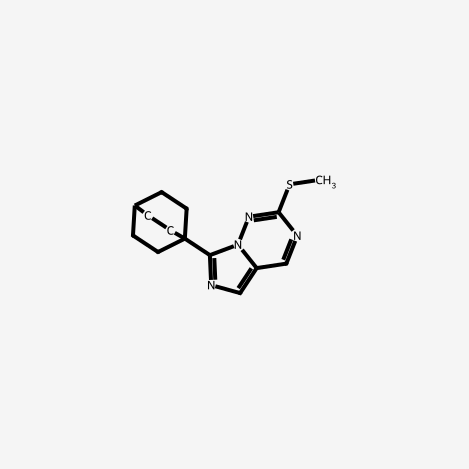 CSc1ncc2cnc(C34CCC(CC3)CC4)n2n1